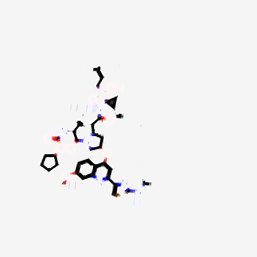 C=C[C@@H]1C[C@]1(NC(=O)CC1C[C@@H](Oc2cc(-c3csc(NC(C)C)n3)nc3cc(OC)ccc23)CN1C(=O)[C@@H](NC(=O)OC1CCCC1)C(C)(C)C)P(=O)(O)CC=C(C)C